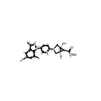 COC(=O)C1[C@H]2CN(c3ccc(-n4nc(I)c5cc(F)cc(C)c54)cn3)C[C@@H]12